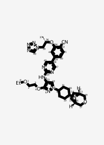 CCOCCOc1nn(C2CCC(N3[C@@H]4CC[C@H]3COC4)CC2)cc1Nc1ncc(-c2ccc(C#N)c(O[C@@H](C)Cn3cnnn3)c2)cn1